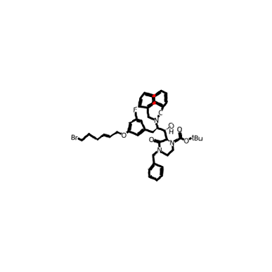 CC(C)(C)OC(=O)N1CCN(Cc2ccccc2)C(=O)[C@@H]1[C@@H](O)[C@@H](Cc1cc(F)cc(OCC=CCCCBr)c1)N(Cc1ccccc1)Cc1ccccc1